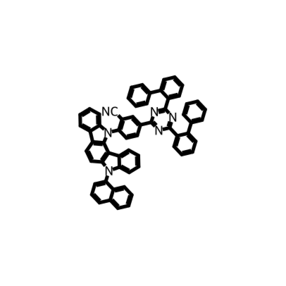 N#Cc1cc(-c2nc(-c3ccccc3-c3ccccc3)nc(-c3ccccc3-c3ccccc3)n2)ccc1-n1c2ccccc2c2ccc3c(c4ccccc4n3-c3cccc4ccccc34)c21